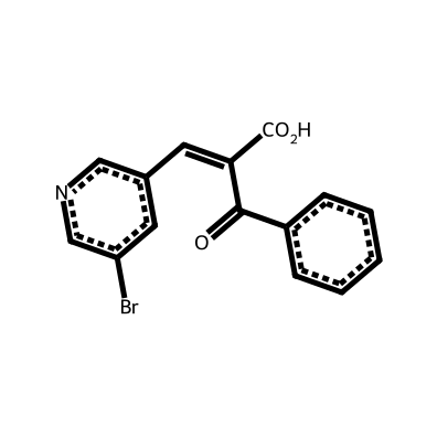 O=C(O)C(=Cc1cncc(Br)c1)C(=O)c1ccccc1